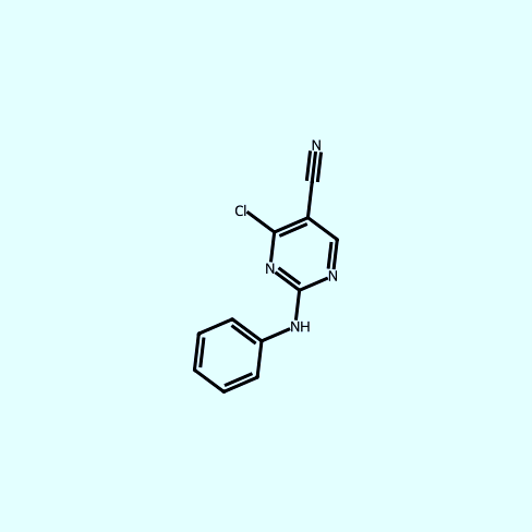 N#Cc1cnc(Nc2ccccc2)nc1Cl